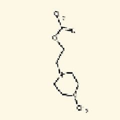 CC(=O)OC[CH]N1CCN(C)CC1